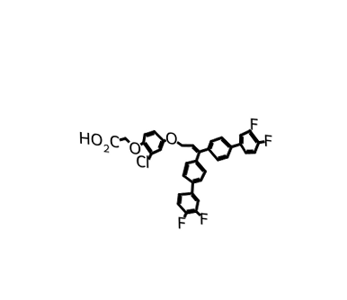 O=C(O)COc1ccc(OCC=C(c2ccc(-c3ccc(F)c(F)c3)cc2)c2ccc(-c3ccc(F)c(F)c3)cc2)cc1Cl